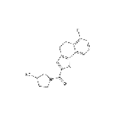 N#CC1CCN(C(=O)c2cc3c(s2)-c2cccc(F)c2CC3)C1